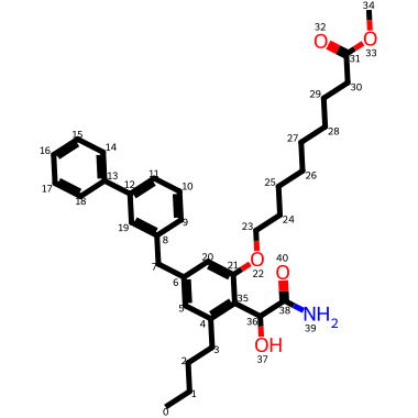 CCCCc1cc(Cc2cccc(-c3ccccc3)c2)cc(OCCCCCCCCC(=O)OC)c1C(O)C(N)=O